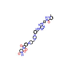 Cc1cccc(C(=O)NC2CC(n3cnc4c(NCc5cccc(N6CCN(CC7CCN(c8ccc9c(c8)C(=O)N([C@H]8CCC(=O)NC8=O)C9=O)CC7)CC6)c5)ncnc43)C2)n1